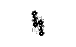 N[C@@H](Cc1ccccc1)C(=O)Nc1ccccc1-c1ccccc1NC(=O)[C@@H](N)Cc1ccccc1